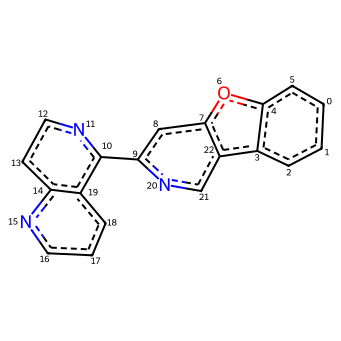 c1ccc2c(c1)oc1cc(-c3nccc4ncccc34)ncc12